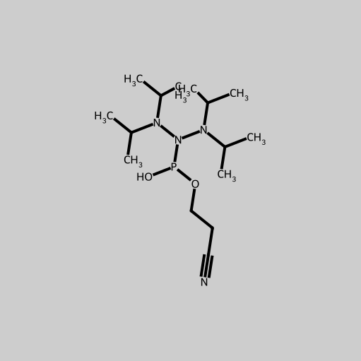 CC(C)N(C(C)C)N(N(C(C)C)C(C)C)P(O)OCCC#N